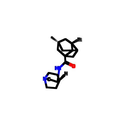 CC[C@]12CC3(C(=O)N[C@H]4CN5CCC4CC5)CC1C[C@@](C)(C3)C2